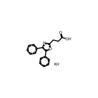 O=C(O)CCc1nc(-c2ccccc2)c(-c2ccccc2)o1.[KH]